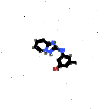 Cc1cc(Br)cc(Nc2nc3ccccn3n2)c1